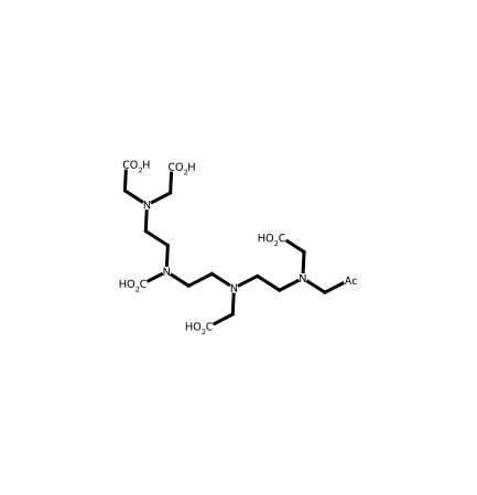 CC(=O)CN(CCN(CCN(CCN(CC(=O)O)CC(=O)O)C(=O)O)CC(=O)O)CC(=O)O